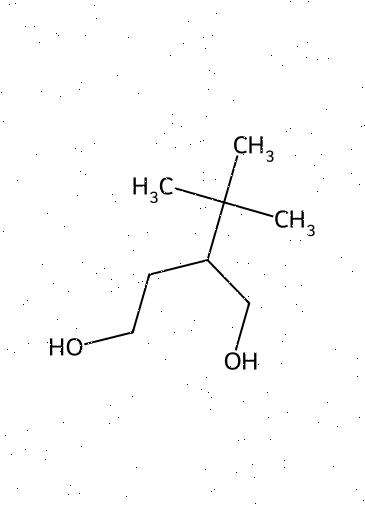 CC(C)(C)C(CO)CCO